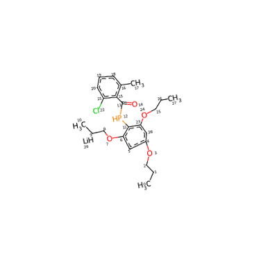 CCCOc1cc(OCCC)c(PC(=O)c2c(C)cccc2Cl)c(OCCC)c1.[LiH]